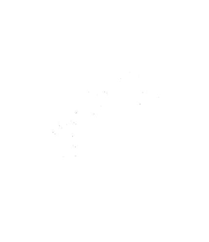 O=C(N[C@H]1CC[C@H](CNc2n[nH]c3cc(F)cnc23)CC1)c1cc(C(F)(F)F)ccc1Cl